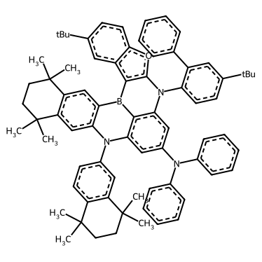 CC(C)(C)c1ccc(N2c3cc(N(c4ccccc4)c4ccccc4)cc4c3B(c3cc5c(cc3N4c3ccc4c(c3)C(C)(C)CCC4(C)C)C(C)(C)CCC5(C)C)c3c2oc2ccc(C(C)(C)C)cc32)c(-c2ccccc2)c1